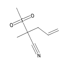 C=CCC(C)(C#N)S(C)(=O)=O